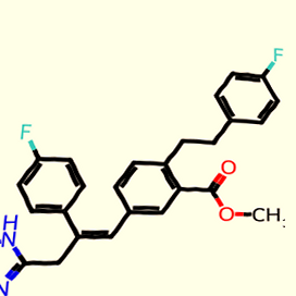 COC(=O)c1cc(C=C(Cc2ncc[nH]2)c2ccc(F)cc2)ccc1CCc1ccc(F)cc1